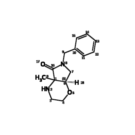 CC12NCCO[C@@H]1CN(Cc1ccccc1)C2=O